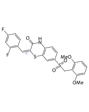 COc1cccc(OC)c1CS(=O)(=O)c1ccc2c(c1)S/C(=C/c1ccc(F)cc1F)C(=O)N2